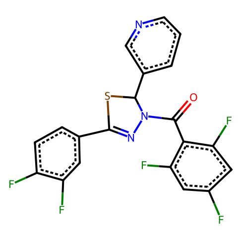 O=C(c1c(F)cc(F)cc1F)N1N=C(c2ccc(F)c(F)c2)SC1c1cccnc1